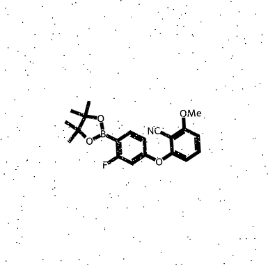 COc1cccc(Oc2ccc(B3OC(C)(C)C(C)(C)O3)c(F)c2)c1C#N